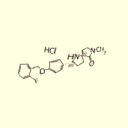 CN1CC[C@]2(CC[C@H](c3ccc(OCc4ccccc4F)cc3)N2)C1=O.Cl